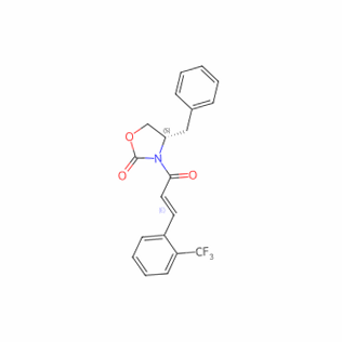 O=C(/C=C/c1ccccc1C(F)(F)F)N1C(=O)OC[C@@H]1Cc1ccccc1